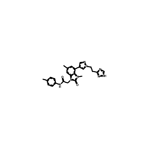 Cc1ccc(NC(=O)Cn2c(=O)n(C)c3c(-c4cnn(CCc5nc[nH]n5)c4)cc(C)cc32)cc1